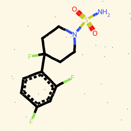 NS(=O)(=O)N1CCC(F)(c2ccc(F)cc2F)CC1